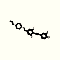 CC=C[C@H]1CC[C@H](CCc2cc(F)c(C#Cc3ccc(F)c(F)c3)c(F)c2)CC1